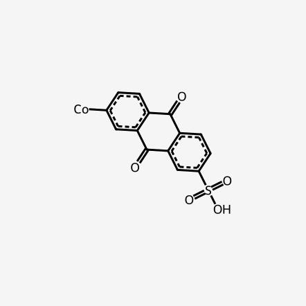 O=C1c2cc[c]([Co])cc2C(=O)c2cc(S(=O)(=O)O)ccc21